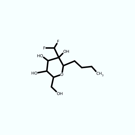 CCCCC1OC(CO)C(O)C(O)C1(O)C(F)F